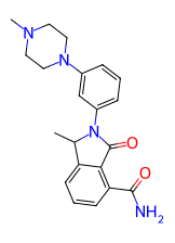 CC1c2cccc(C(N)=O)c2C(=O)N1c1cccc(N2CCN(C)CC2)c1